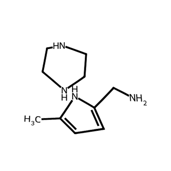 C1CNCCN1.Cc1ccc(CN)[nH]1